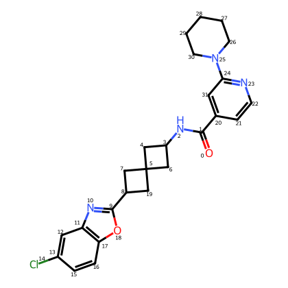 O=C(NC1CC2(C1)CC(c1nc3cc(Cl)ccc3o1)C2)c1ccnc(N2CCCCC2)c1